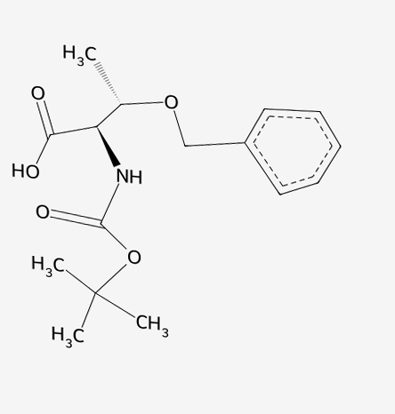 C[C@H](OCc1ccccc1)[C@@H](NC(=O)OC(C)(C)C)C(=O)O